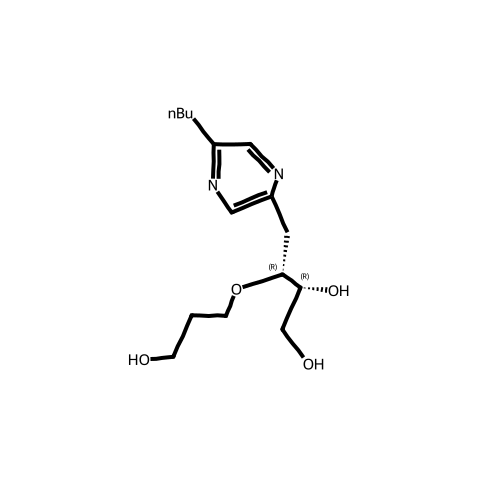 CCCCc1cnc(C[C@@H](OCCCO)[C@H](O)CO)cn1